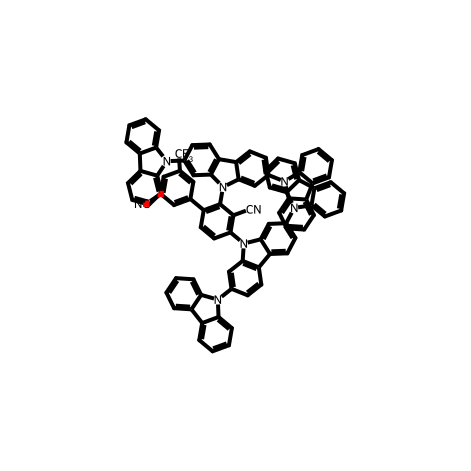 N#Cc1cc(-c2ccc(-n3c4cc(-n5c6ccccc6c6ccccc65)ccc4c4ccc(-n5c6ccccc6c6ccccc65)cc43)c(C#N)c2-n2c3cc(-n4c5ccccc5c5ccccc54)ccc3c3ccc(-n4c5ccccc5c5ccccc54)cc32)cc(C(F)(F)F)c1